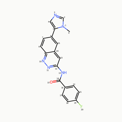 Cn1cncc1-c1ccc2nnc(NC(=O)c3ccc(F)cc3)cc2c1